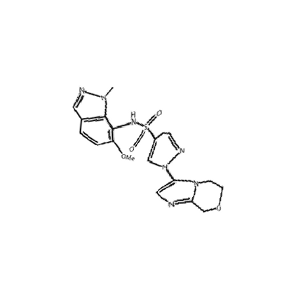 COc1ccc2cnn(C)c2c1NS(=O)(=O)c1cnn(-c2cnc3n2CCOC3)c1